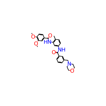 COc1ccc(C(=O)Nc2cc(NC(=O)c3cccc(CN4CCOCC4)c3)ccc2C)cc1OC